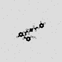 COc1cccc(C(=O)N2CC(C(O)NC34CC(NC(=O)COc5ccc(Cl)c(F)c5)(C3)C4)Oc3ccc(Cl)cc32)c1